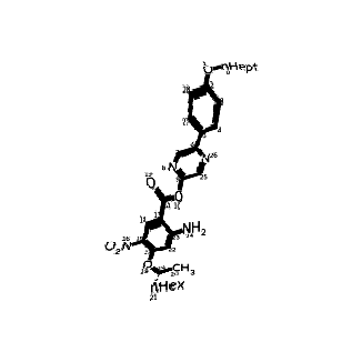 CCCCCCCOc1ccc(-c2cnc(OC(=O)c3cc([N+](=O)[O-])c(O[C@H](C)CCCCCC)cc3N)cn2)cc1